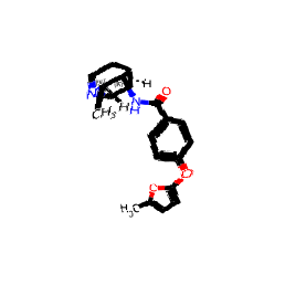 Cc1ccc(Oc2ccc(C(=O)N[C@@H]3C4CCN(CC4)[C@H]3C)cc2)o1